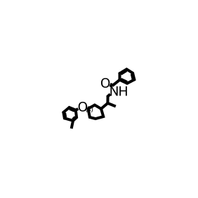 Cc1cccc(O[C@@H]2CCCC(C(C)CNC(=O)c3ccccc3)C2)c1